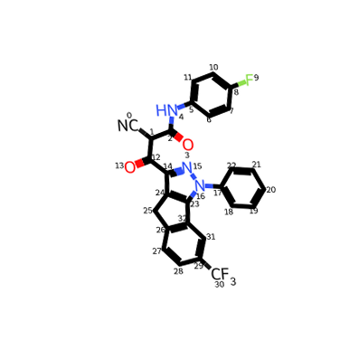 N#CC(C(=O)Nc1ccc(F)cc1)C(=O)c1nn(-c2ccccc2)c2c1Cc1ccc(C(F)(F)F)cc1-2